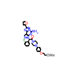 COCCOc1ccc(N2CCN(C(=O)[C@H](c3ccccc3F)n3ncc4c3nc(N)n3nc(-c5ccco5)nc43)CC2)cc1